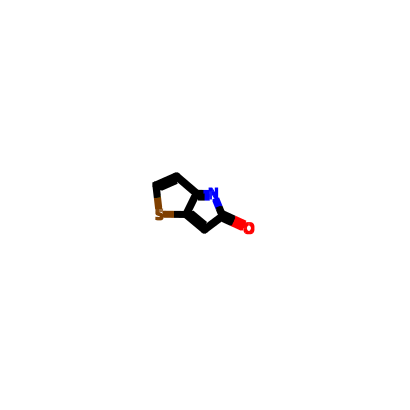 O=C1C=c2sccc2=N1